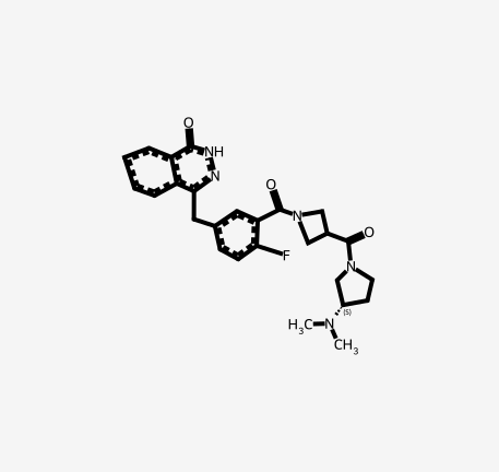 CN(C)[C@H]1CCN(C(=O)C2CN(C(=O)c3cc(Cc4n[nH]c(=O)c5ccccc45)ccc3F)C2)C1